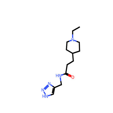 CCN1CCC(CCC(=O)NCc2c[nH]nn2)CC1